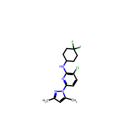 Cc1cc(C)n(-c2ccc(Cl)c(NC3CCC(F)(F)CC3)n2)n1